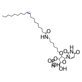 CCCCCCCC/C=C\CCCCCCCC(=O)NCCCCCCOC1C(O[PH](=O)O)C(CO)OC1n1ccc(=O)[nH]c1=O